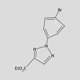 CCOC(=O)c1cnn(-c2ccc(Br)cc2)n1